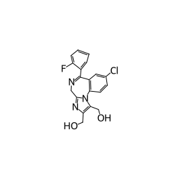 OCc1nc2n(c1CO)-c1ccc(Cl)cc1C(c1ccccc1F)=NC2